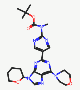 CN(C(=O)OC(C)(C)C)c1ncc(-c2nc(N3CCOCC3)c3ncn(C4CCCCO4)c3n2)cn1